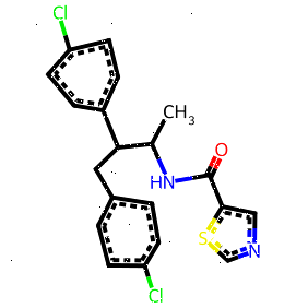 CC(NC(=O)c1cncs1)C(Cc1ccc(Cl)cc1)c1ccc(Cl)cc1